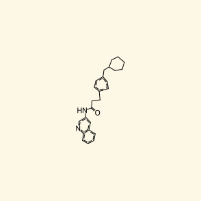 O=C(CCc1ccc(CC2CCCCC2)cc1)Nc1cnc2ccccc2c1